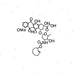 COc1cccc2c1C(=O)c1c(O)c3c(c(O)c1C2=O)C[C@@](O)(C(=O)CO)C[C@@H]3O[C@H]1C[C@@H](NC(=O)O[C@H]2/C=C/CCCCC2)[C@H](O)C(C)O1